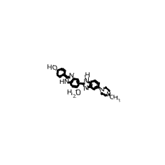 CN1CCN(c2ccc3[nH]c(-c4ccc5[nH]c(-c6ccc(O)cc6)nc5c4)nc3c2)CC1.O